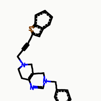 C(#Cc1cc2ccccc2s1)CN1CCC2=C(CN(Cc3ccccc3)C=N2)C1